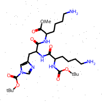 COC(=O)C(CCCCN)NC(=O)C(Cc1cn(C(=O)OC(C)(C)C)cn1)NC(=O)C(CCCCN)NC(=O)OC(C)(C)C